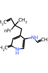 C=CNC1=CNC(=C)C=C1CC(C)(C=C)CCC